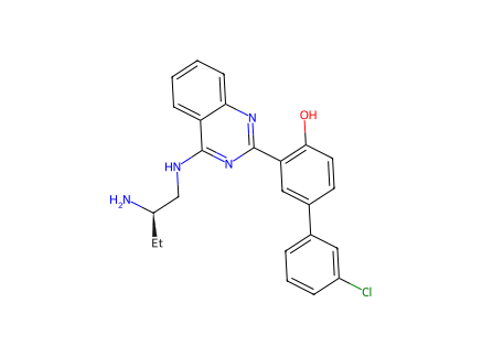 CC[C@@H](N)CNc1nc(-c2cc(-c3cccc(Cl)c3)ccc2O)nc2ccccc12